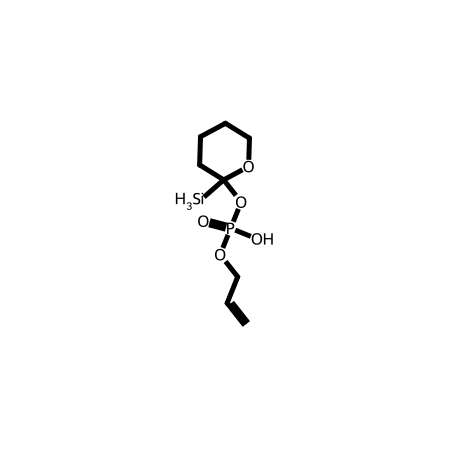 C=CCOP(=O)(O)OC1([SiH3])CCCCO1